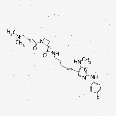 CNc1nc(Nc2ccc(F)cc2)ncc1C#CCCCNC(=O)[C@@H]1CCN1C(=O)/C=C/CN(C)C